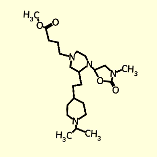 COC(=O)CCCN1CCN(C2CN(C)C(=O)O2)C(CCC2CCN(C(C)C)CC2)C1